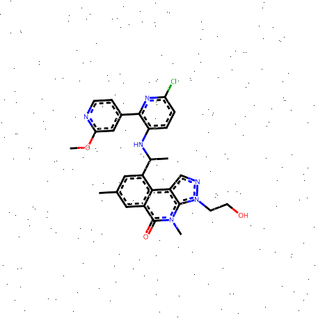 COc1cc(-c2nc(Cl)ccc2NC(C)c2cc(C)cc3c(=O)n(C)c4c(cnn4CCO)c23)ccn1